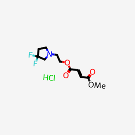 COC(=O)/C=C/C(=O)OCCN1CCC(F)(F)C1.Cl